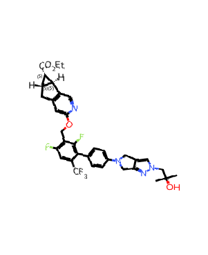 CCOC(=O)[C@H]1[C@H]2Cc3cc(OCc4c(F)cc(C(F)(F)F)c(-c5ccc(N6Cc7cn(CC(C)(C)O)nc7C6)cc5)c4F)ncc3[C@@H]21